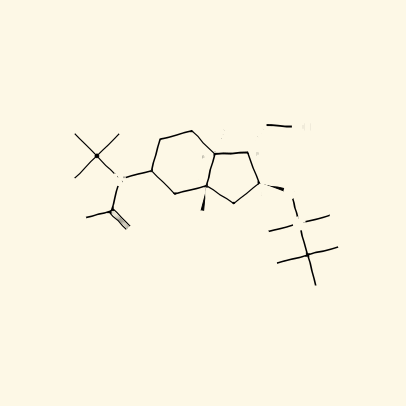 CC(C)(C)N(C(=O)O)C1CC[C@@H]2[C@@H](C1)C[C@H](O[Si](C)(C)C(C)(C)C)[C@H]2CO